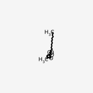 CCCCCCCCCCCCCOS(=O)(=O)c1ccc(C)c2c1O2